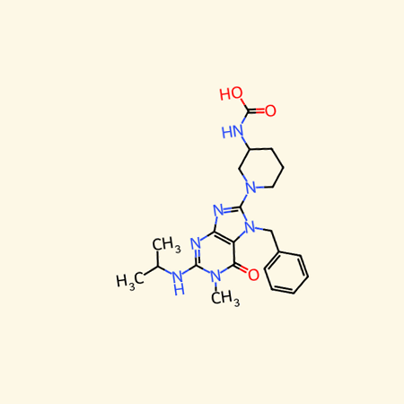 CC(C)Nc1nc2nc(N3CCCC(NC(=O)O)C3)n(Cc3ccccc3)c2c(=O)n1C